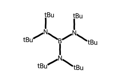 CC(C)(C)N(B(N(C(C)(C)C)C(C)(C)C)N(C(C)(C)C)C(C)(C)C)C(C)(C)C